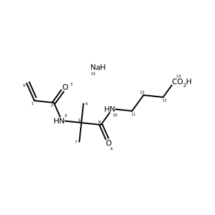 C=CC(=O)NC(C)(C)C(=O)NCCCC(=O)O.[NaH]